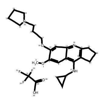 COc1cc2c(NC3CC3)c3c(nc2cc1OCCCN1CCCC1)CCC3.O=C(O)C(F)(F)F